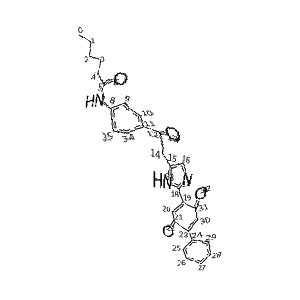 CCCCCC(=O)Nc1ccc(C(=O)Cc2cnc(C3=CC(=O)C(c4ccccc4)=CC3=O)[nH]2)cc1